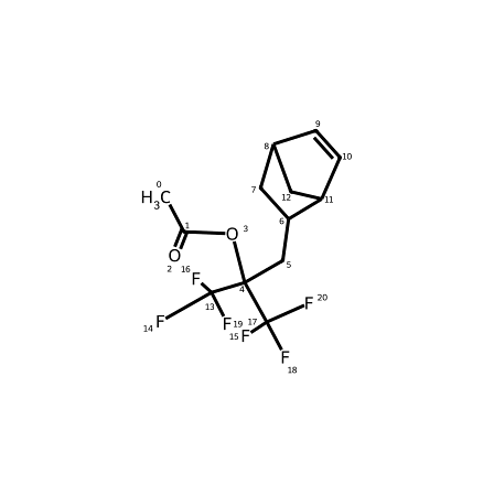 CC(=O)OC(CC1CC2C=CC1C2)(C(F)(F)F)C(F)(F)F